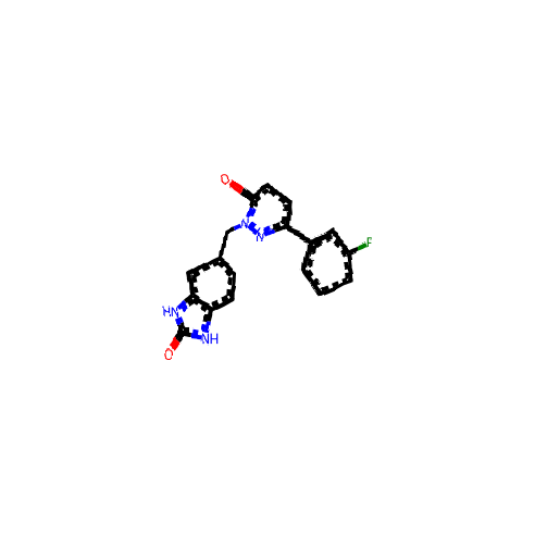 O=c1[nH]c2ccc(Cn3nc(-c4cccc(F)c4)ccc3=O)cc2[nH]1